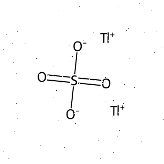 O=S(=O)([O-])[O-].[Tl+].[Tl+]